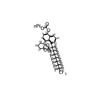 CCCOC(=O)Oc1ccc(S2(OS(=O)(=O)C(F)(F)C(F)(F)C(F)(F)C(F)(F)C(F)(F)C(F)(F)C(F)(F)C(F)(F)F)CCCC2)c2ccccc12